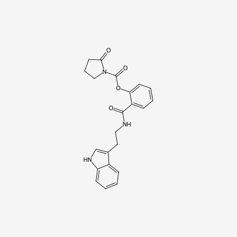 O=C(NCCc1c[nH]c2ccccc12)c1ccccc1OC(=O)N1CCCC1=O